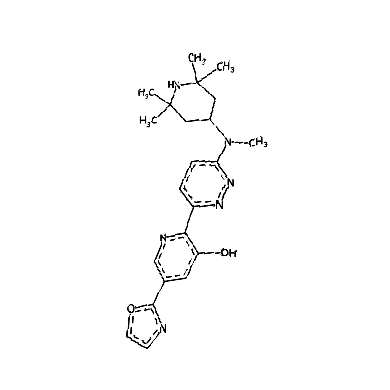 CN(c1ccc(-c2ncc(-c3ncco3)cc2O)nn1)C1CC(C)(C)NC(C)(C)C1